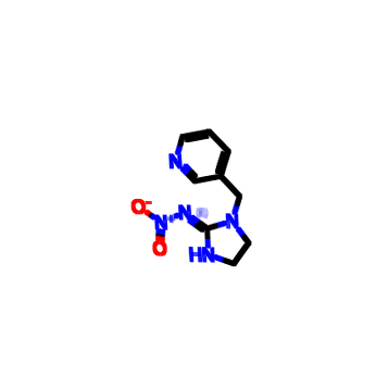 O=[N+]([O-])/N=C1\NCCN1Cc1cccnc1